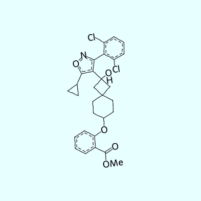 COC(=O)c1ccccc1OC1CCC2(CC1)CC(O)(c1c(-c3c(Cl)cccc3Cl)noc1C1CC1)C2